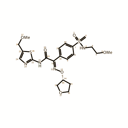 C=S(=O)(NCCOC)c1ccc(/C(=N\O[C@@H]2CCOC2)C(=O)Nc2ncc(COC)s2)cc1